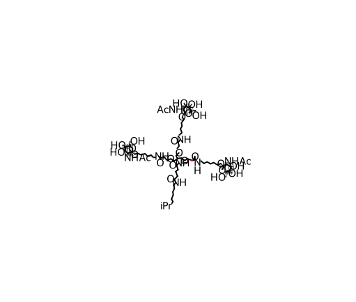 CC(=O)N[C@H]1[C@H](OCCCCCCNC(=O)CCOCC(COCCC(=O)NCCCCCCO[C@@H]2O[C@H](CO)[C@H](O)[C@H](O)[C@H]2NC(C)=O)(COCCC(=O)NCCCCCCO[C@@H]2O[C@H](CO)[C@H](O)[C@H](O)[C@H]2NC(C)=O)NC(=O)CCCC(=O)NCCCCCCC(C)C)O[C@H](CO)[C@H](O)[C@@H]1O